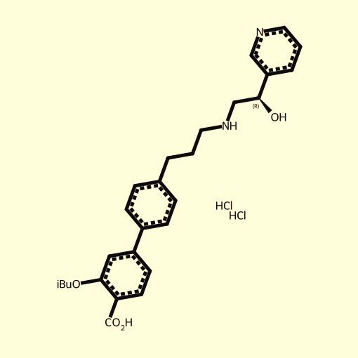 CC(C)COc1cc(-c2ccc(CCCNC[C@H](O)c3cccnc3)cc2)ccc1C(=O)O.Cl.Cl